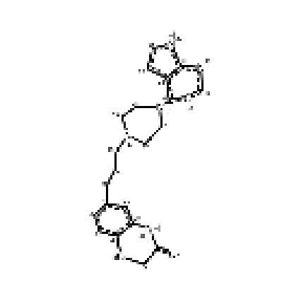 O=C1COc2ccc(CCCN3CCN(c4ccnc5[nH]ccc45)CC3)cc2N1